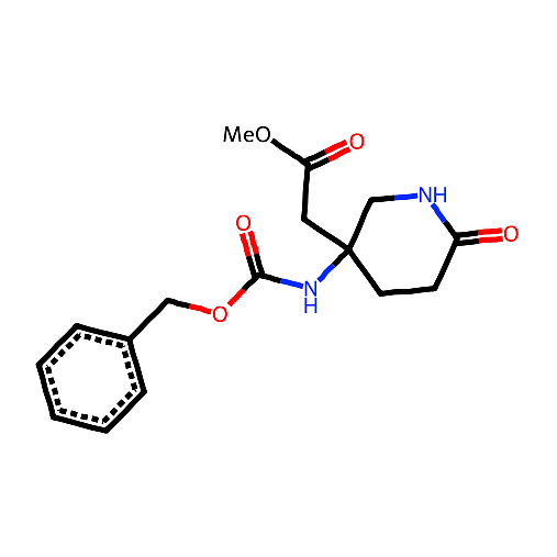 COC(=O)CC1(NC(=O)OCc2ccccc2)CCC(=O)NC1